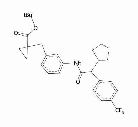 CC(C)(C)OC(=O)C1(Cc2cccc(NC(=O)C(c3ccc(C(F)(F)F)cc3)C3CCCC3)c2)CC1